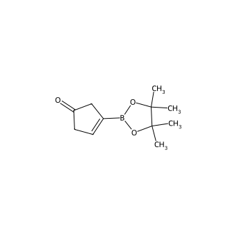 CC1(C)OB(C2=CCC(=O)C2)OC1(C)C